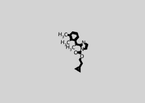 Cc1cccc([C@H](C)c2nccn2C(=O)OCCC2CC2)c1C